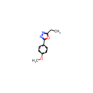 CCc1nnc(-c2ccc(OC)cc2)o1